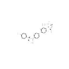 O=S(=O)(Nc1ccc(-c2ccc(C(O)(C(F)(F)F)C(F)(F)F)cc2F)cc1)c1ccc(F)cc1